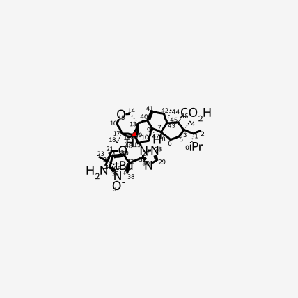 CC(C)[C@@H](C)[C@@]1(C)CC[C@]2(C)[C@H]3CC[C@@H]4[C@@]5(COC[C@]4(C)[C@@H](OC[C@](C)(N)C(C)(C)C)[C@H](n4ncnc4-c4ccc[n+]([O-])c4)C5)C3=CC[C@@]2(C)[C@@H]1C(=O)O